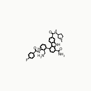 CN1CCC(N(C)C(=O)c2ccc3c(c2)[nH]c2c(C(N)=O)ccc(-c4cccc(NC(=O)c5ccc(F)cc5)c4CN)c23)C1